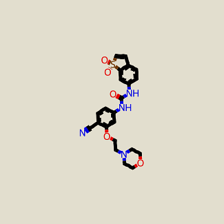 N#Cc1ccc(NC(=O)Nc2ccc3c(c2)S(=O)(=O)C=C3)cc1OCCN1CCOCC1